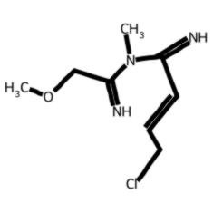 COCC(=N)N(C)C(=N)/C=C/CCl